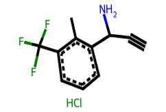 C#CC(N)c1cccc(C(F)(F)F)c1C.Cl